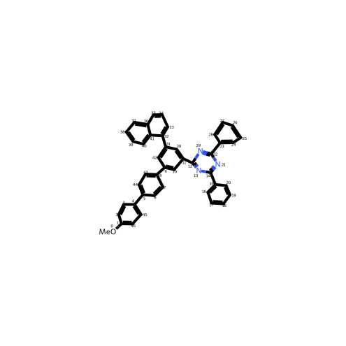 COc1ccc(-c2ccc(-c3cc(-c4nc(-c5ccccc5)nc(-c5ccccc5)n4)cc(-c4cccc5ccccc45)c3)cc2)cc1